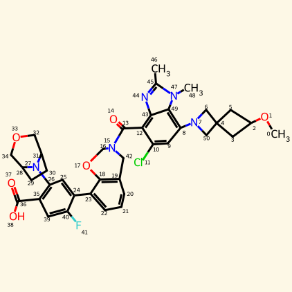 COC1CC2(C1)CN(c1cc(Cl)c(C(=O)N3COc4c(cccc4-c4cc(N5C6CCC5COC6)c(C(=O)O)cc4F)C3)c3nc(C)n(C)c13)C2